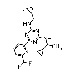 CC(Nc1nc(NCC2CC2)nc(-c2cccc(C(F)F)n2)n1)C1CC1